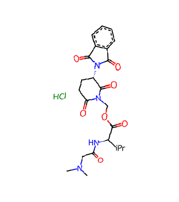 CC(C)C(NC(=O)CN(C)C)C(=O)OCN1C(=O)CC[C@H](N2C(=O)c3ccccc3C2=O)C1=O.Cl